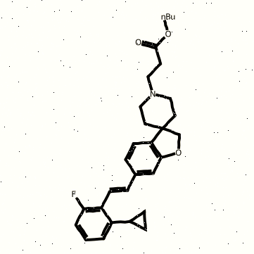 CCCCOC(=O)CCN1CCC2(CC1)COc1cc(/C=C/c3c(F)cccc3C3CC3)ccc12